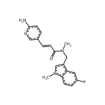 CN(Cc1cn(C)c2ccc(F)cc12)C(=O)C=Cc1ccc(N)nc1